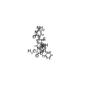 C[C@@H](C(=O)OCc1ccccc1)N(C[C@H]1S[C@@H](n2ccc(N)nc2=O)[C@@H](F)[C@@H]1O)P(=O)(O)O